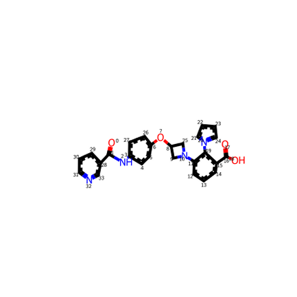 O=C(Nc1ccc(OC2CN(c3cccc(C(=O)O)c3-n3cccc3)C2)cc1)c1cccnc1